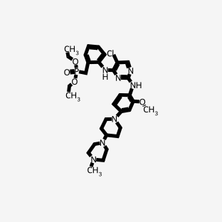 CCOP(=O)(Cc1ccccc1Nc1nc(Nc2ccc(N3CCC(N4CCN(C)CC4)CC3)cc2OC)ncc1Cl)OCC